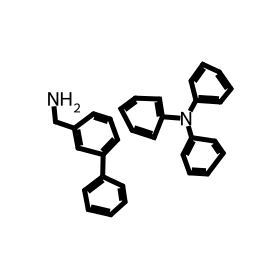 NCc1cccc(-c2ccccc2)c1.c1ccc(N(c2ccccc2)c2ccccc2)cc1